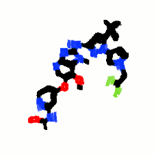 COc1c(Oc2ccnc(NC(C)=O)c2)cnc2nc(Nc3cc(C(C)(C)C)n(-c4ccn(CC(F)F)c4)n3)n(C)c12